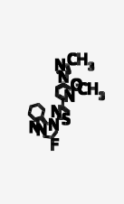 COc1nc(-c2csc(N3CC(F)Cn4nc5c(c43)CCCC5)n2)ccc1-n1cnc(C)c1